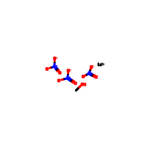 CO.O=[N+]([O-])[O-].O=[N+]([O-])[O-].O=[N+]([O-])[O-].[La+3]